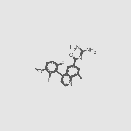 COc1ccc(F)c(-c2ccnc3c(C)cc(C(=O)N=C(N)N)cc23)c1F